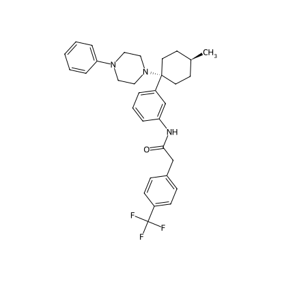 C[C@H]1CC[C@](c2cccc(NC(=O)Cc3ccc(C(F)(F)F)cc3)c2)(N2CCN(c3ccccc3)CC2)CC1